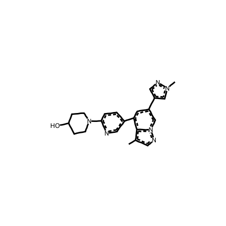 Cc1cnn2cc(-c3cnn(C)c3)cc(-c3ccc(N4CCC(O)CC4)nc3)c12